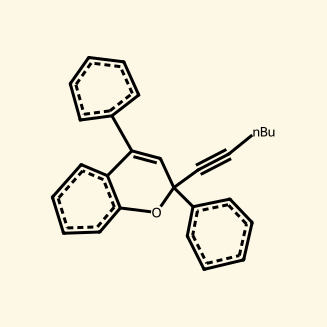 CCCCC#CC1(c2ccccc2)C=C(c2ccccc2)c2ccccc2O1